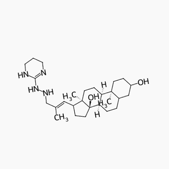 C/C(=C\C1CC[C@@]2(O)[C@@H]3CCC4CC(O)CC[C@]4(C)[C@@H]3CC[C@]12C)CNNC1=NCCCN1